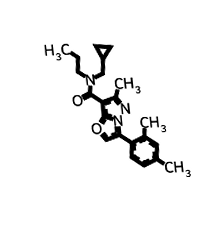 CCCN(CC1CC1)C(=O)c1c(C)nn2c(-c3ccc(C)cc3C)coc12